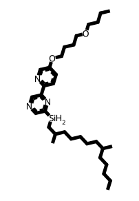 CCCCCC(C)CCCCCC(C)C[SiH2]c1cncc(-c2ccc(OCCCCOCCCC)cn2)n1